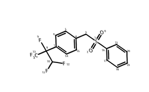 O=S(=O)(Cc1ccc(C(F)(C(F)F)C(F)(F)F)cc1)c1ccccc1